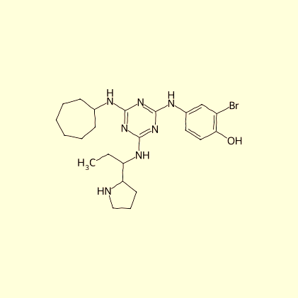 CCC(Nc1nc(Nc2ccc(O)c(Br)c2)nc(NC2CCCCCC2)n1)C1CCCN1